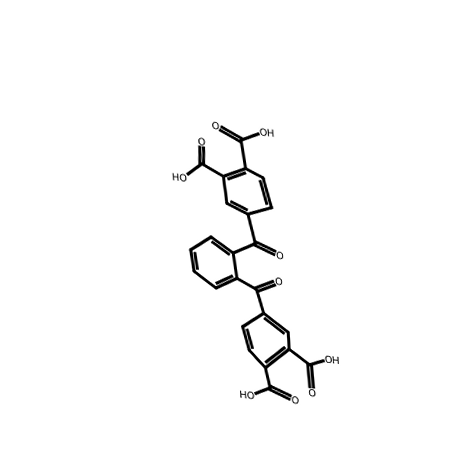 O=C(O)c1ccc(C(=O)c2ccccc2C(=O)c2ccc(C(=O)O)c(C(=O)O)c2)cc1C(=O)O